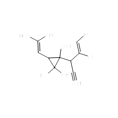 C#CC(C(C)=CCC)C1(C(=O)O)C(C=C(C)C)C1(C)C